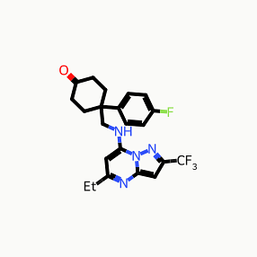 CCc1cc(NCC2(c3ccc(F)cc3)CCC(=O)CC2)n2nc(C(F)(F)F)cc2n1